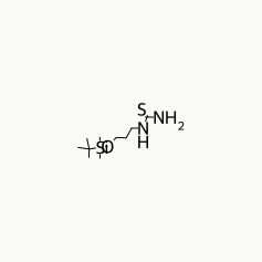 CC(C)(C)[Si](C)(C)OCCCNC(N)=S